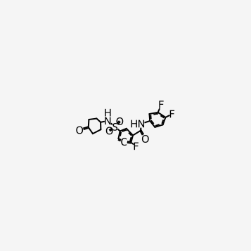 O=C1CCC(NS(=O)(=O)c2ccc(F)c(C(=O)Nc3ccc(F)c(F)c3)c2)CC1